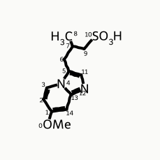 COc1ccn2c(CC(C)CS(=O)(=O)O)cnc2c1